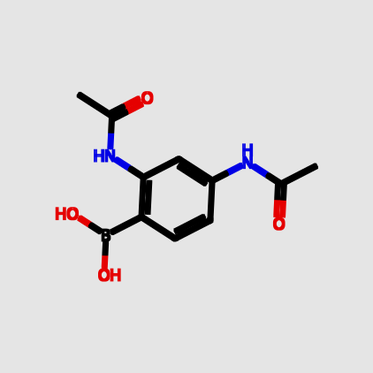 CC(=O)Nc1ccc(B(O)O)c(NC(C)=O)c1